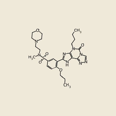 CCCCn1c(=O)n2cnnc2c2[nH]c(-c3cc(S(=O)(=O)N(C)CCN4CCOCC4)ccc3OCCC)nc21